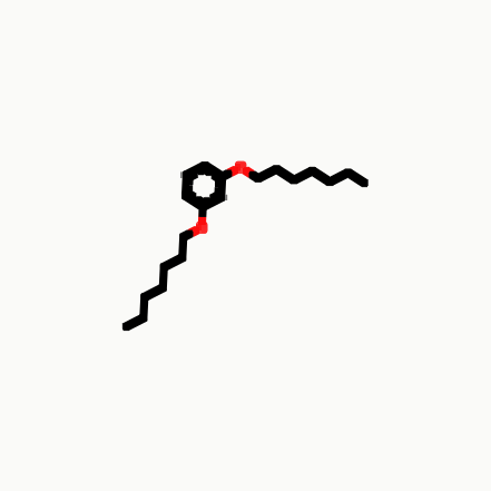 CCCCCCCOc1[c]c(OCCCCCCC)c[c]c1